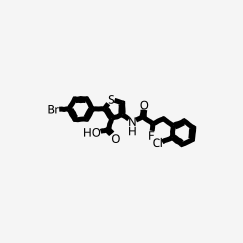 O=C(O)c1c(NC(=O)C(F)Cc2ccccc2Cl)csc1-c1ccc(Br)cc1